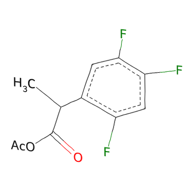 CC(=O)OC(=O)C(C)c1cc(F)c(F)cc1F